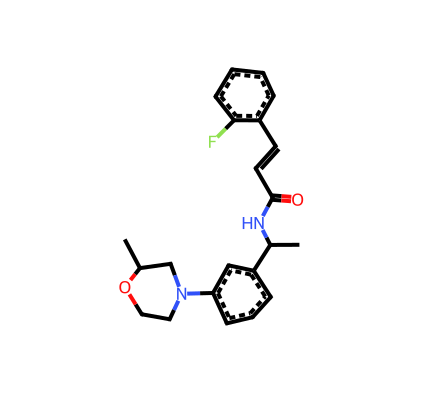 CC1CN(c2cccc(C(C)NC(=O)C=Cc3ccccc3F)c2)CCO1